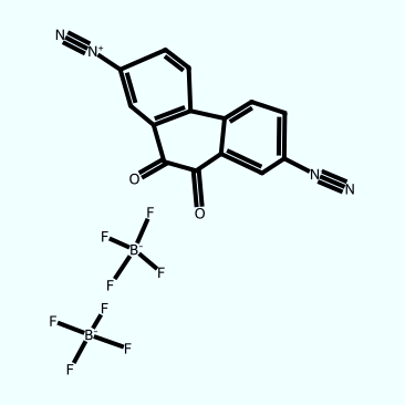 F[B-](F)(F)F.F[B-](F)(F)F.N#[N+]c1ccc2c(c1)C(=O)C(=O)c1cc([N+]#N)ccc1-2